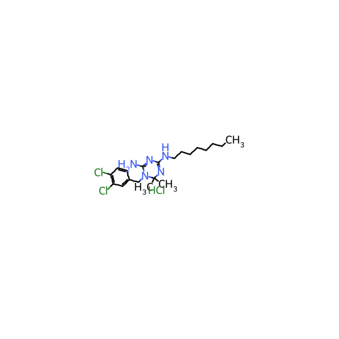 CCCCCCCCNC1=NC(C)(C)N(Cc2ccc(Cl)c(Cl)c2)C(N)=N1.Cl